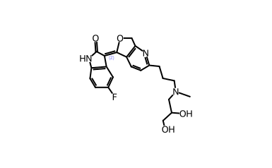 CN(CCCc1ccc2c(n1)CO/C2=C1\C(=O)Nc2ccc(F)cc21)CC(O)CO